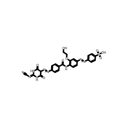 N#CN=C1NC(=O)C(/N=N/c2ccc(C(=O)Nc3ccc(/N=N/c4ccc(S(=O)(=O)O)cc4)cc3OCCO)cc2)C(=O)N1